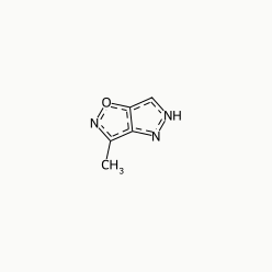 Cc1noc2c[nH]nc12